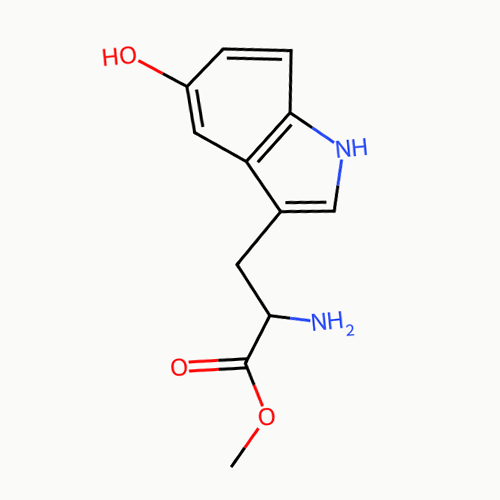 COC(=O)C(N)Cc1c[nH]c2ccc(O)cc12